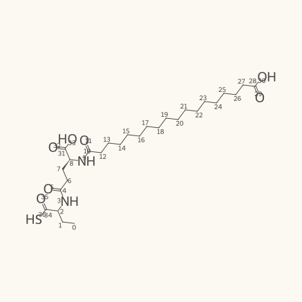 CCC(NC(=O)CC[C@H](NC(=O)CCCCCCCCCCCCCCCCC(=O)O)C(=O)O)C(=O)S